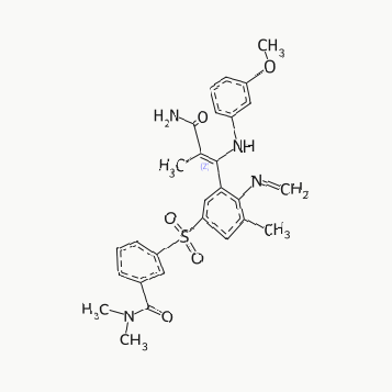 C=Nc1c(C)cc(S(=O)(=O)c2cccc(C(=O)N(C)C)c2)cc1/C(Nc1cccc(OC)c1)=C(\C)C(N)=O